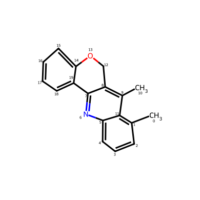 Cc1cccc2nc3c(c(C)c12)COc1ccccc1-3